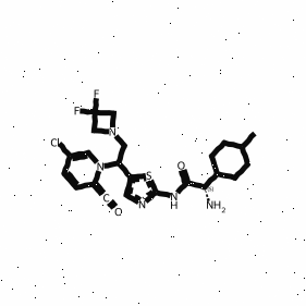 CC1CCC([C@H](N)C(=O)Nc2ncc(C(CN3CC(F)(F)C3)N3C=C(Cl)C=CC3=C=O)s2)CC1